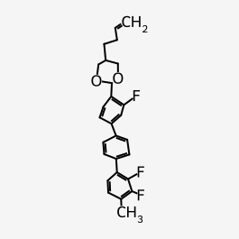 C=CCCC1COC(c2ccc(-c3ccc(-c4ccc(C)c(F)c4F)cc3)cc2F)OC1